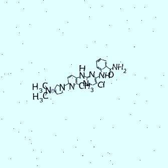 Cc1nc(N2CC[C@H](N(C)C)C2)ccc1Nc1ncc(Cl)c(Nc2ccccc2C(N)=O)n1